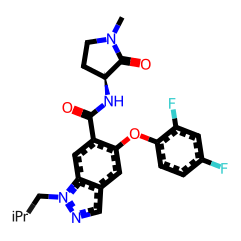 CC(C)Cn1ncc2cc(Oc3ccc(F)cc3F)c(C(=O)N[C@H]3CCN(C)C3=O)cc21